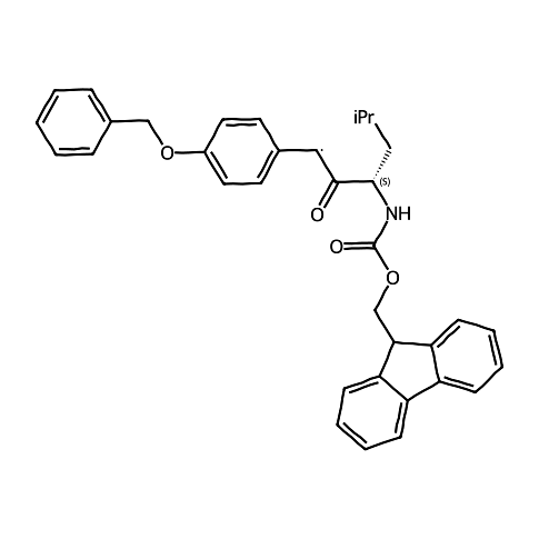 CC(C)C[C@H](NC(=O)OCC1c2ccccc2-c2ccccc21)C(=O)[CH]c1ccc(OCc2ccccc2)cc1